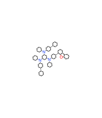 c1ccc(-c2ccc(N(c3ccccc3)c3cc(N(c4ccccc4)c4ccc(-c5ccccc5)cc4)cc(N(c4ccccc4)c4ccc(-c5cccc6c5oc5ccccc56)cc4)c3)cc2)cc1